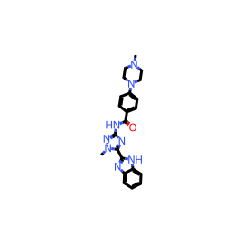 CN1CCN(c2ccc(C(=O)Nc3nc(-c4nc5ccccc5[nH]4)n(C)n3)cc2)CC1